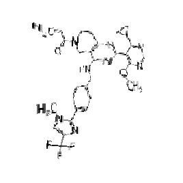 C=CC(=O)N1CCc2nc(-c3c(OC)ncnc3C3CC3)nc(NCc3ccc(-c4nc(C(F)(F)F)cn4C)cc3)c2C1